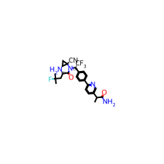 CC(C(N)=O)c1ccc(-c2ccc([C@H](N(C(=O)[C@@H](N)CC(C)(C)F)C3(C#N)CC3)C(F)(F)F)cc2)nc1